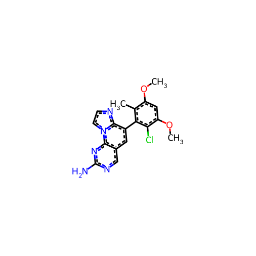 COc1cc(OC)c(Cl)c(-c2cc3cnc(N)nc3n3ccnc23)c1C